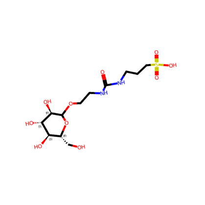 O=C(NCCCS(=O)(=O)O)NCCOC1O[C@H](CO)[C@@H](O)[C@H](O)[C@H]1O